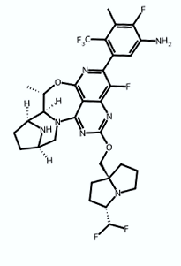 Cc1c(F)c(N)cc(-c2nc3c4c(nc(OC[C@@]56CCCN5[C@H](C(F)F)CC6)nc4c2F)N2C[C@H]4CC[C@H](N4)[C@H]2[C@H](C)O3)c1C(F)(F)F